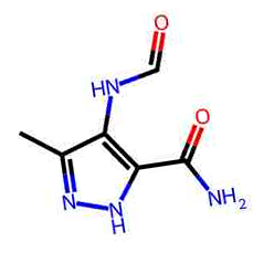 Cc1n[nH]c(C(N)=O)c1NC=O